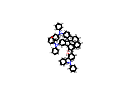 c1ccc(N(c2ccccc2)c2ccc3c(c2)-c2c(ccc4c2oc2c4ccc4c2c2ccccc2n4-c2ccccc2)C32c3cc(N(c4ccccc4)c4ccccc4)ccc3-c3ccc4ccccc4c32)cc1